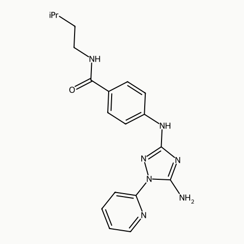 CC(C)CCNC(=O)c1ccc(Nc2nc(N)n(-c3ccccn3)n2)cc1